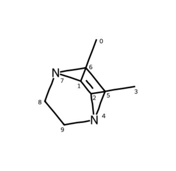 CC1=C(C)N2CCN1CC2